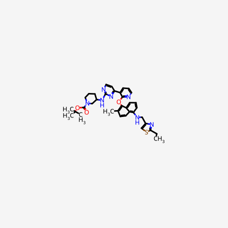 CCc1nc(CNc2cccc3c(Oc4ncccc4-c4ccnc(NC5CCCN(C(=O)OC(C)(C)C)C5)n4)c(C)ccc23)cs1